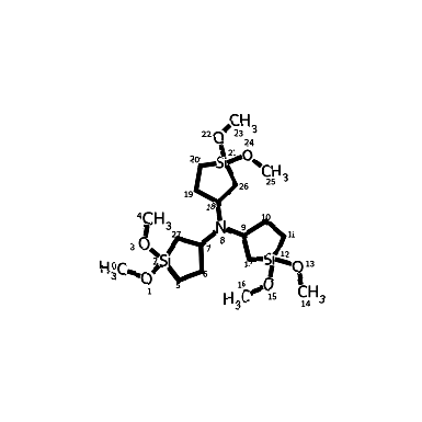 CO[Si]1(OC)CCC(N(C2CC[Si](OC)(OC)C2)C2CC[Si](OC)(OC)C2)C1